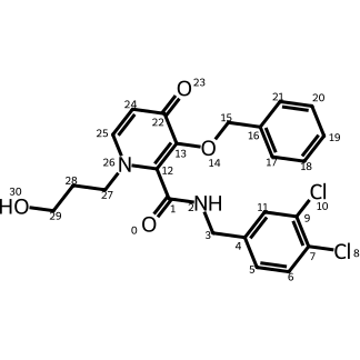 O=C(NCc1ccc(Cl)c(Cl)c1)c1c(OCc2ccccc2)c(=O)ccn1CCCO